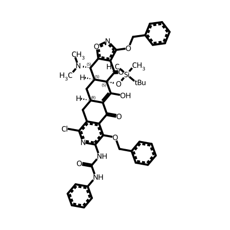 CN(C)[C@@H]1c2onc(OCc3ccccc3)c2C(=O)[C@@]2(O[Si](C)(C)C(C)(C)C)C(O)=C3C(=O)c4c(c(Cl)nc(NC(=O)Nc5ccccc5)c4OCc4ccccc4)C[C@H]3C[C@@H]12